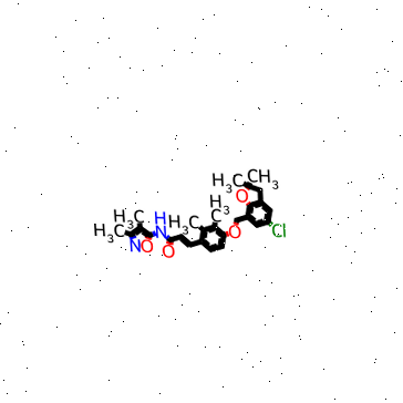 Cc1noc(NC(=O)C=Cc2ccc(OCc3cc(Cl)cc4c3OC(C)(C)C4)c(C)c2C)c1C